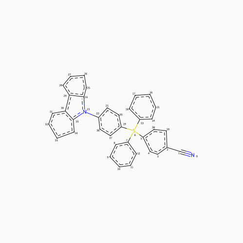 N#Cc1ccc(S(c2ccccc2)(c2ccccc2)c2ccc(-n3c4ccccc4c4ccccc43)cc2)cc1